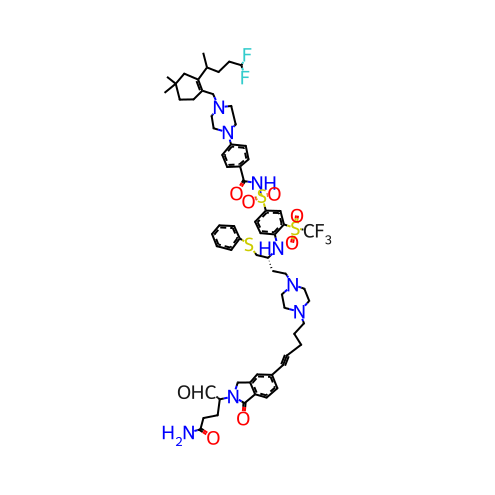 CC(CCC(F)F)C1=C(CN2CCN(c3ccc(C(=O)NS(=O)(=O)c4ccc(N[C@H](CCN5CCN(CCCC#Cc6ccc7c(c6)CN(C(C=O)CCC(N)=O)C7=O)CC5)CSc5ccccc5)c(S(=O)(=O)C(F)(F)F)c4)cc3)CC2)CCC(C)(C)C1